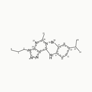 CCCn1nnc2c(Nc3ccc(C(C)C)cc3Br)nc(C)nc21